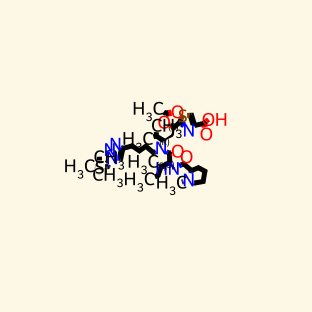 CC[C@H](C)[C@H](NC(=O)C1CCCCN1C)C(=O)N(CCCCc1cn(C[Si](C)(C)C)nn1)[C@H](C[C@@H](OC(C)=O)c1nc(C(=O)O)cs1)C(C)C